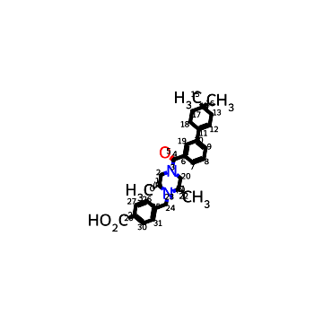 C[C@@H]1CN(C(=O)c2cccc(C3=CCC(C)(C)CC3)c2)C[C@H](C)N1Cc1ccc(C(=O)O)cc1